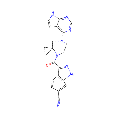 N#Cc1ccc2c(C(=O)N3CCN(c4ncnc5[nH]ccc45)CC34CC4)n[nH]c2c1